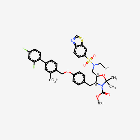 CC(C)CN(C[C@H]1OC(C)(C)N(C(=O)OC(C)(C)C)[C@H]1Cc1ccc(OCc2ccc(-c3ccc(F)cc3F)cc2C(=O)O)cc1)S(=O)(=O)c1ccc2ncsc2c1